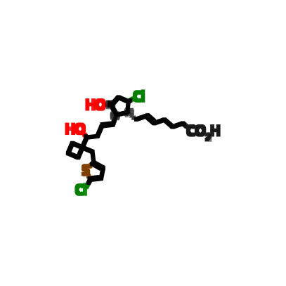 O=C(O)CCCC=CC[C@H]1C(Cl)C[C@@H](O)[C@@H]1C=CCC(O)C1(Cc2ccc(Cl)s2)CCC1